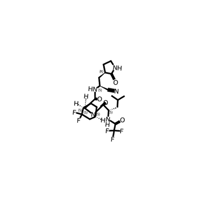 CC(C)C[C@H](NC(=O)C(F)(F)F)C(=O)N1[C@H]2CC[C@@H]([C@H]1C(=O)N[C@H](C#N)C[C@H]1CCNC1=O)C(F)(F)C2